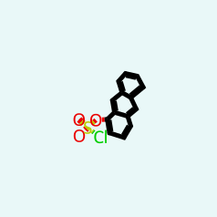 O=S(=O)(Cl)Oc1cccc2cc3ccccc3cc12